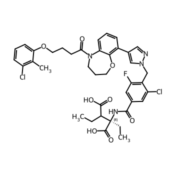 CCC(C(=O)O)[C@@](CC)(NC(=O)c1cc(F)c(Cn2cc(-c3cccc4c3OCCCN4C(=O)CCCOc3cccc(Cl)c3C)cn2)c(Cl)c1)C(=O)O